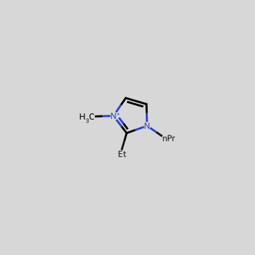 CCCn1cc[n+](C)c1CC